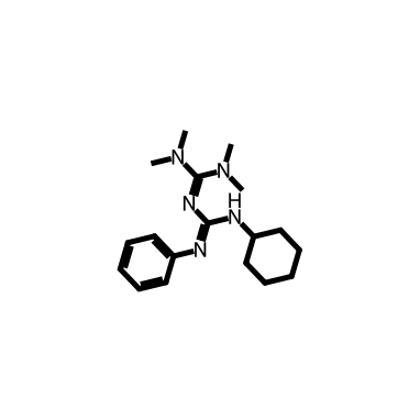 CN(C)C(=N/C(=N\c1ccccc1)NC1CCCCC1)N(C)C